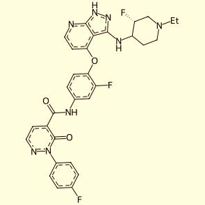 CCN1CCC(Nc2n[nH]c3nccc(Oc4ccc(NC(=O)c5ccnn(-c6ccc(F)cc6)c5=O)cc4F)c23)[C@H](F)C1